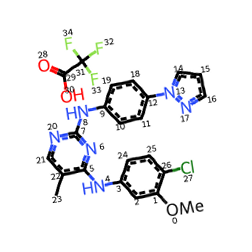 COc1cc(Nc2nc(Nc3ccc(-n4cccn4)cc3)ncc2C)ccc1Cl.O=C(O)C(F)(F)F